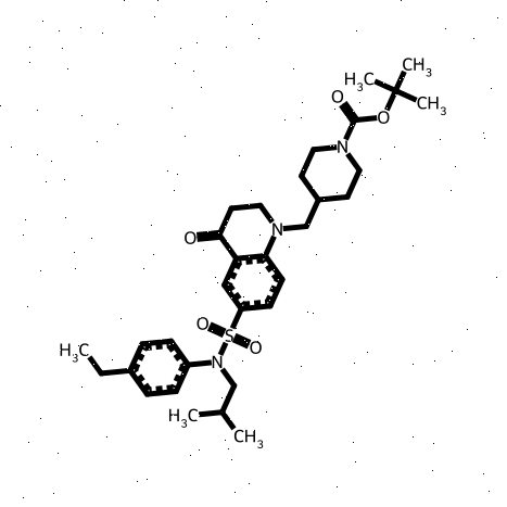 CCc1ccc(N(CC(C)C)S(=O)(=O)c2ccc3c(c2)C(=O)CCN3CC2CCN(C(=O)OC(C)(C)C)CC2)cc1